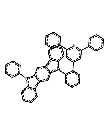 c1ccc(-c2cc(-c3ccccc3-n3c4ccccc4c4cc5c(cc43)c3ccccc3n5-c3ccccc3)cc(-c3ccccc3)n2)cc1